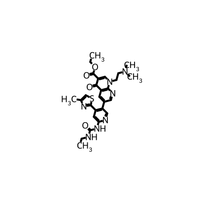 CCNC(=O)Nc1cc(-c2nc(C)cs2)c(-c2cnc3c(c2)c(=O)c(C(=O)OCC)cn3CCN(C)C)cn1